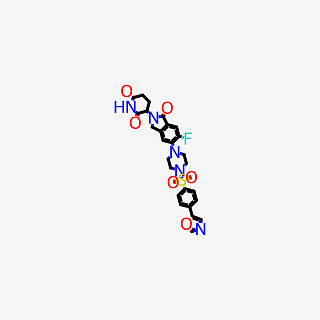 O=C1CCC(N2Cc3cc(N4CCN(S(=O)(=O)c5ccc(-c6cnco6)cc5)CC4)c(F)cc3C2=O)C(=O)N1